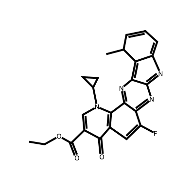 CCOC(=O)c1cn(C2CC2)c2c(cc(F)c3nc4c(nc32)=C2C(=CC=CC2C)N=4)c1=O